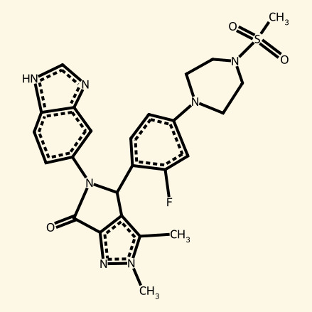 Cc1c2c(nn1C)C(=O)N(c1ccc3[nH]cnc3c1)C2c1ccc(N2CCN(S(C)(=O)=O)CC2)cc1F